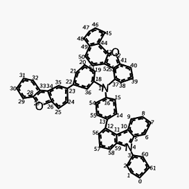 c1ccc(-n2c3ccccc3c3c(-c4ccc(N(c5cccc(-c6ccc7oc8ccccc8c7c6)c5)c5cccc6oc7c8ccccc8ccc7c56)cc4)cccc32)cc1